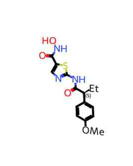 CC[C@H](C(=O)Nc1ncc(C(=O)NO)s1)c1ccc(OC)cc1